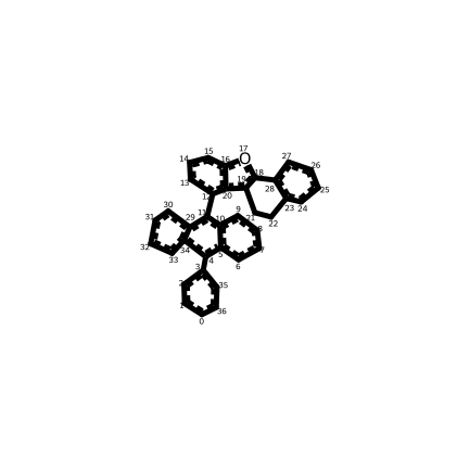 c1ccc(-c2c3ccccc3c(-c3cccc4oc5c(c34)CCc3ccccc3-5)c3ccccc23)cc1